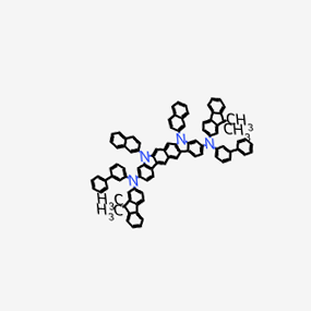 CC1(C)c2ccccc2-c2ccc(N(c3cccc(-c4ccccc4)c3)c3ccc4c5cc6cc7c8ccc(N(c9cccc(-c%10ccccc%10)c9)c9ccc%10c(c9)C(C)(C)c9ccccc9-%10)cc8n(-c8ccc9ccccc9c8)c7cc6cc5n(-c5ccc6ccccc6c5)c4c3)cc21